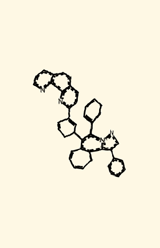 C1=CCCC(c2c(C3C=C(c4ccc5ccc6cccnc6c5n4)C=CC3)c3c(c4c(-c5ccccc5)cnn24)CC=CC=C3)=C1